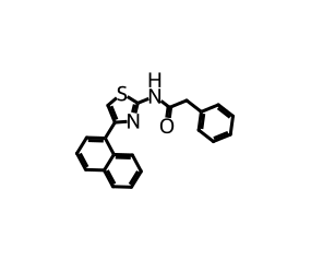 O=C(Cc1ccccc1)Nc1nc(-c2cccc3ccccc23)cs1